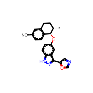 C[C@H]1CCc2cc(C#N)ccc2[C@@H]1Oc1ccc2[nH]nc(-c3cnco3)c2c1